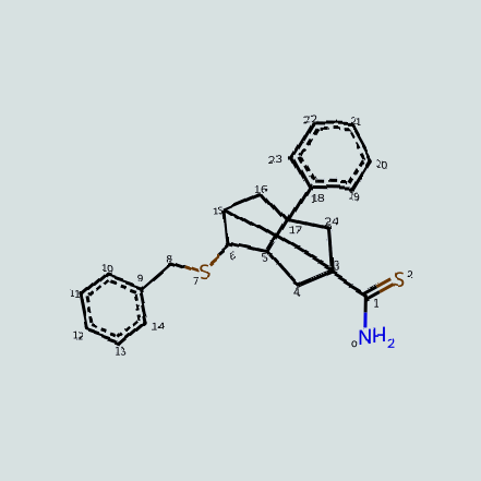 NC(=S)C12CC3C(SCc4ccccc4)C1CC3(c1ccccc1)C2